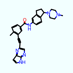 Cc1ccc(C(=O)Nc2ccc3c(c2)CCC3N2CCN(C)CC2)cc1C#Cc1cnc2[nH]ccc2n1